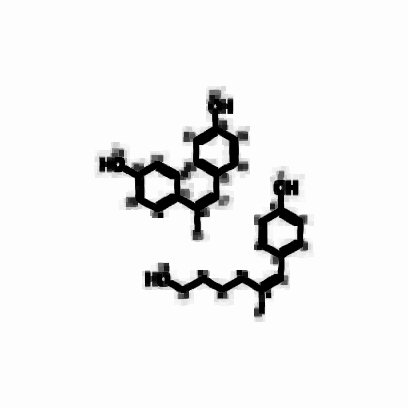 CC(=Cc1ccc(O)cc1)CCCCO.CC(=Cc1ccc(O)cc1)c1ccc(O)cc1